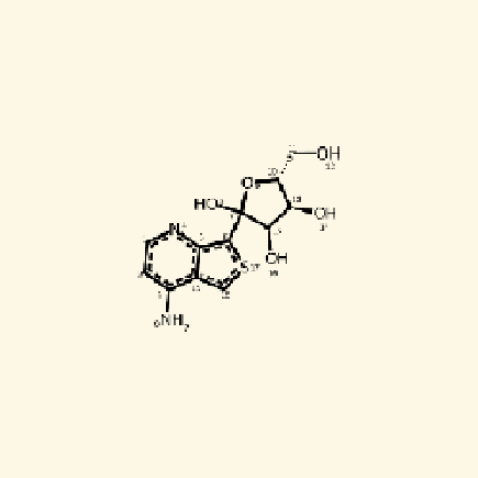 Nc1ccnc2c(C3(O)O[C@H](CO)[C@@H](O)[C@H]3O)scc12